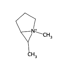 CC1C2CCC[N+]12C